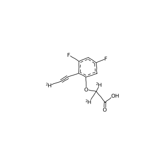 [2H]C#Cc1c(F)cc(F)cc1OC([2H])([2H])C(=O)O